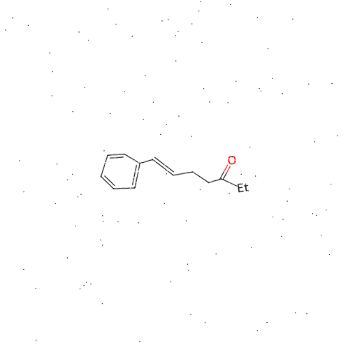 CCC(=O)CCC=Cc1ccccc1